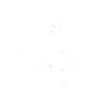 Cn1nnc2cc(CNC(=O)C3CN(C(=O)Oc4ccc(Cl)cc4)CCN3C(=O)C(N)CCc3ccccc3)ccc21